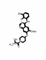 COc1cc2c(Nc3cccc(Br)c3F)ncnc2cc1OC1CCN(C(=O)[C@@H](C)O)CC1